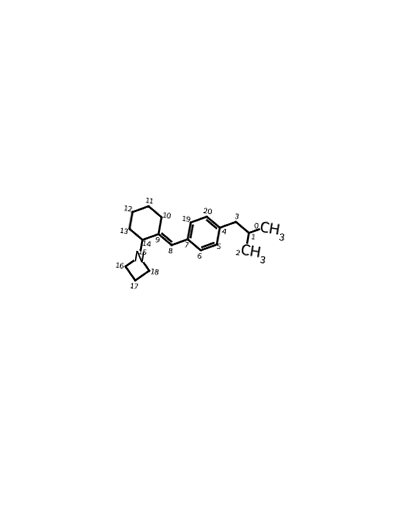 CC(C)Cc1ccc(/C=C2\CCCCC2N2CCC2)cc1